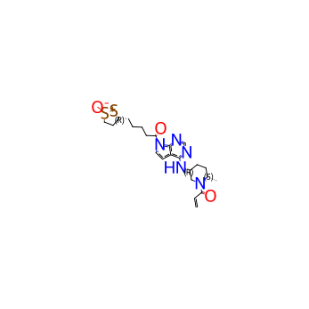 C=CC(=O)N1C[C@H](Nc2ncnc3c2ccn3C(=O)CCCC[C@@H]2CC[S+]([O-])S2)CC[C@@H]1C